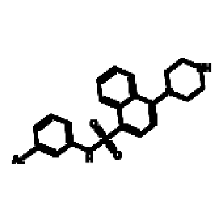 CC(=O)c1cccc(NS(=O)(=O)c2ccc(N3CCNCC3)c3ccccc23)c1